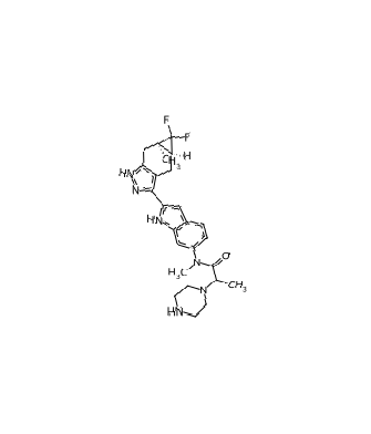 CC(C(=O)N(C)c1ccc2cc(-c3n[nH]c4c3C[C@@H]3C(F)(F)[C@]3(C)C4)[nH]c2c1)N1CCNCC1